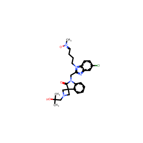 C/[N+]([O-])=C/CCCn1c(CN2C(=O)C3(CN(CC(C)(C)O)C3)c3ccccc32)nc2cc(Cl)ccc21